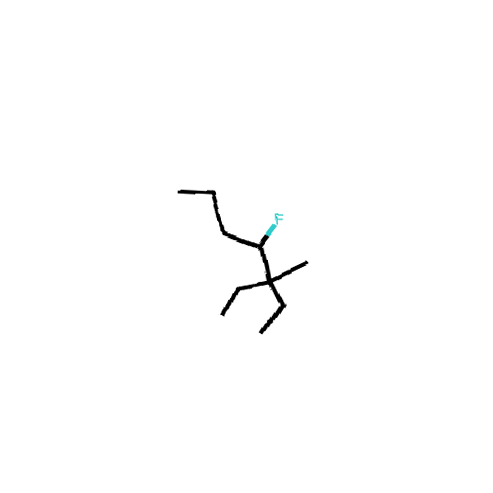 CCCC(F)C(C)(CC)CC